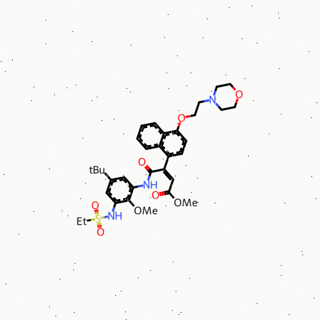 CCS(=O)(=O)Nc1cc(C(C)(C)C)cc(NC(=O)C(=CC(=O)OC)c2ccc(OCCN3CCOCC3)c3ccccc23)c1OC